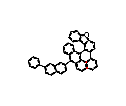 c1ccc(-c2ccc3ccc(-c4c5ccccc5c(-c5c(-c6ccccc6)ccc6oc7ccccc7c56)c5ccccc45)cc3c2)cc1